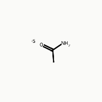 CC(N)=O.[S]